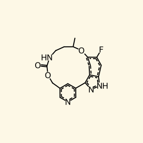 CC1CCNC(=O)OCc2cncc(c2)-c2n[nH]c3cc(F)c(cc23)O1